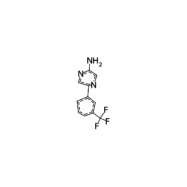 Nc1cnc(-c2cccc(C(F)(F)F)c2)cn1